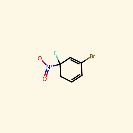 O=[N+]([O-])C1(F)C=C(Br)C=CC1